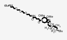 CO[C@H]1CN(C(=O)CCCC(=O)NCCCOCCOCCOCCCNC(C)(C)C)CCc2c(nnn2CC(C)(C)OCC(C)(C)CN(C)C(C)(C)C)[C@@H]1OC